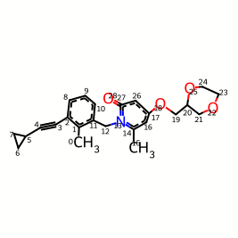 Cc1c(C#CC2CC2)cccc1Cn1c(C)cc(OCC2COCCO2)cc1=O